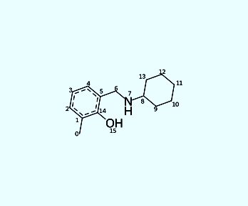 Cc1cccc(CNC2CCCCC2)c1O